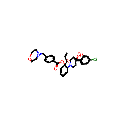 CCC(=O)C1(OC(=O)c2ccc(CN3CCOCC3)cc2)C=CC=CC1N1CCC(O)(c2ccc(Cl)cc2)CC1